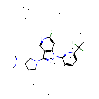 CN(C)[C@H]1CCN(c2nn(-c3cccc(C(C)(F)F)n3)c3cc(Cl)ncc23)C1